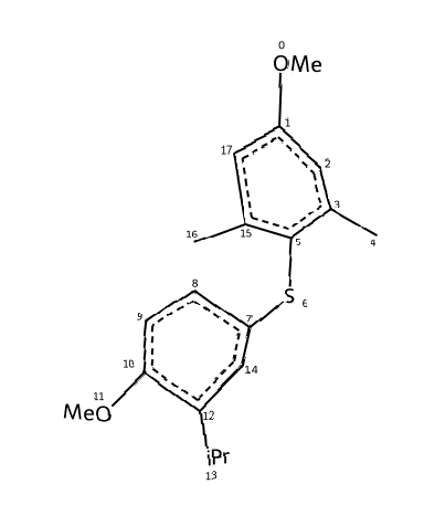 COc1cc(C)c(Sc2ccc(OC)c(C(C)C)c2)c(C)c1